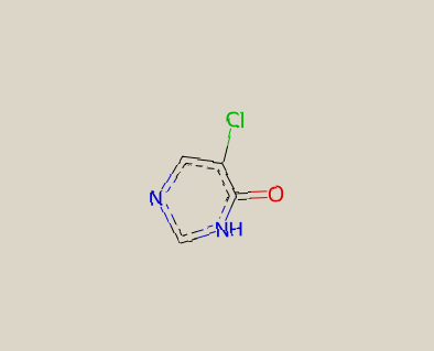 O=c1[nH]cncc1Cl